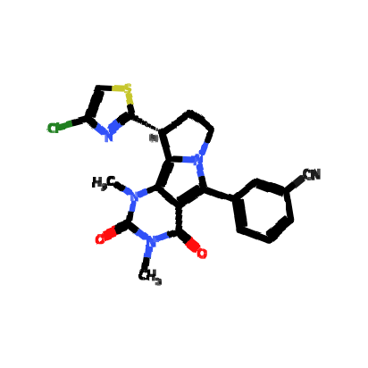 Cn1c(=O)c2c(-c3cccc(C#N)c3)n3c(c2n(C)c1=O)[C@H](c1nc(Cl)cs1)CC3